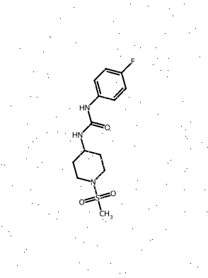 CS(=O)(=O)N1CCC(NC(=O)Nc2ccc(F)cc2)CC1